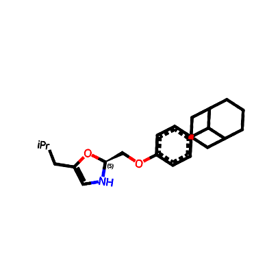 CC(C)CC1=CN[C@H](COc2ccc(C3C4CCCC3CCC4)cc2)O1